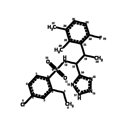 CCc1cc(Cl)ccc1S(=O)(=O)NC(c1nn[nH]n1)C(C)c1c(F)ccc(C)c1C